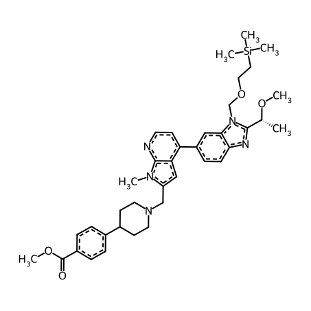 COC(=O)c1ccc(C2CCN(Cc3cc4c(-c5ccc6nc([C@@H](C)OC)n(COCC[Si](C)(C)C)c6c5)ccnc4n3C)CC2)cc1